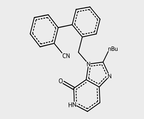 CCCCc1nc2cc[nH]c(=O)c2n1Cc1ccccc1-c1ccccc1C#N